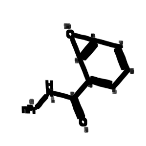 CCCNC(=O)c1cc[c]c2c1O2